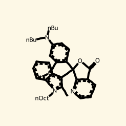 CCCCCCCCn1c(C)c(C2(c3ccc(N(CCCC)CCCC)cc3OCC)OC(=O)c3cccnc32)c2ccccc21